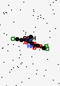 O=C(O)C(Cc1ccc(-c2ccc(Cl)cc2)cc1)NC(=O)[C@@H]1Cc2cc3c(cc2CN1C(=O)c1ccccc1)O[C@@H](c1ccc(OCc2ccc(Cl)c(Cl)c2)cc1)C(=O)N3